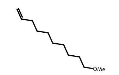 C=CCCCCCCCCOC